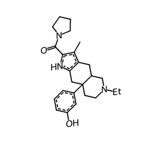 CCN1CCC2(c3cccc(O)c3)Cc3[nH]c(C(=O)N4CCCC4)c(C)c3CC2C1